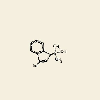 CCC(C)C1=CC([Si](C)(C)O)c2ccccc21